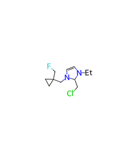 CCN1C=CN(CC2(CF)CC2)C1CCl